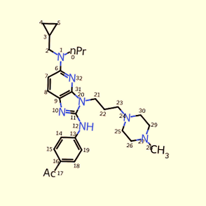 CCCN(CC1CC1)c1ccc2nc(Nc3ccc(C(C)=O)cc3)n(CCCN3CCN(C)CC3)c2n1